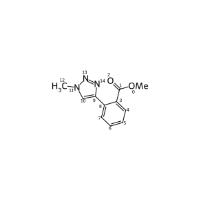 COC(=O)c1ccccc1-c1cn(C)nn1